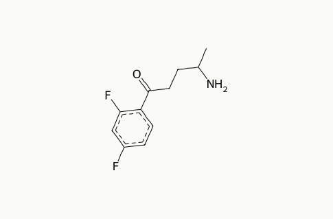 CC(N)CCC(=O)c1ccc(F)cc1F